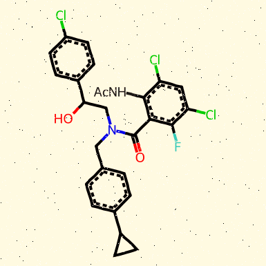 CC(=O)Nc1c(Cl)cc(Cl)c(F)c1C(=O)N(Cc1ccc(C2CC2)cc1)CC(O)c1ccc(Cl)cc1